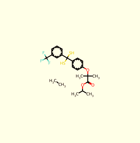 CC.CC(C)OC(=O)C(C)(C)Oc1ccc(C(S)(S)c2cccc(C(F)(F)F)c2)cc1